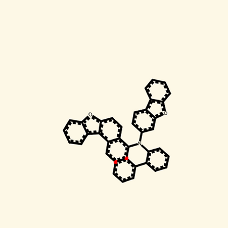 c1ccc(-c2ccccc2N(c2ccc3c(c2)oc2ccccc23)c2cccc3c2ccc2oc4ccccc4c23)cc1